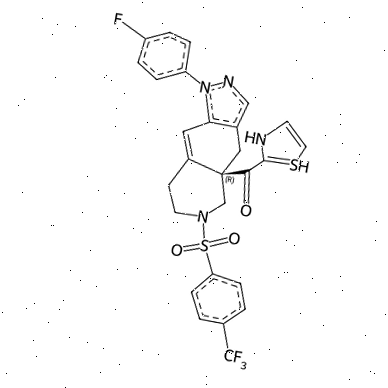 O=C(C1=[SH]C=CN1)[C@]12Cc3cnn(-c4ccc(F)cc4)c3C=C1CCN(S(=O)(=O)c1ccc(C(F)(F)F)cc1)C2